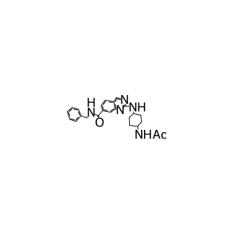 CC(=O)NC1CCC(Nc2ncc3ccc(C(=O)NCc4ccccc4)cc3n2)CC1